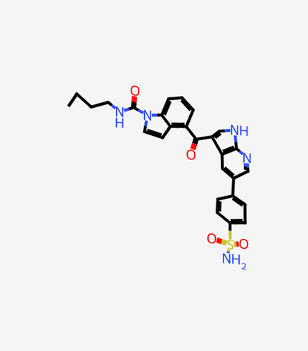 CCCCNC(=O)n1ccc2c(C(=O)c3c[nH]c4ncc(-c5ccc(S(N)(=O)=O)cc5)cc34)cccc21